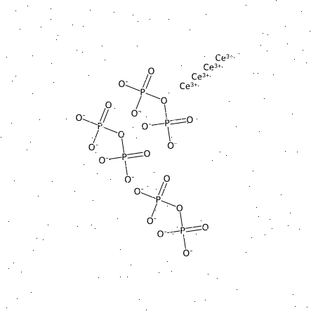 O=P([O-])([O-])OP(=O)([O-])[O-].O=P([O-])([O-])OP(=O)([O-])[O-].O=P([O-])([O-])OP(=O)([O-])[O-].[Ce+3].[Ce+3].[Ce+3].[Ce+3]